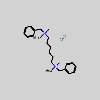 CCCCCC[N+](C)(CCCCCC[N+](C)(CCCCCC)Cc1ccccc1)Cc1ccccc1.[Cl-].[Cl-]